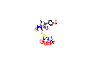 COc1ccc([C@@H](CC(C)C)C(=O)NC(=C=O)CSSC[C@H](NC(=O)CC(C)(C)C)C(=O)O)cc1